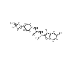 Cc1c([C@@H](NC(=O)Nc2cnc(N3CC(C)(O)C3)nc2)C(F)(F)F)oc2ccc(F)cc12